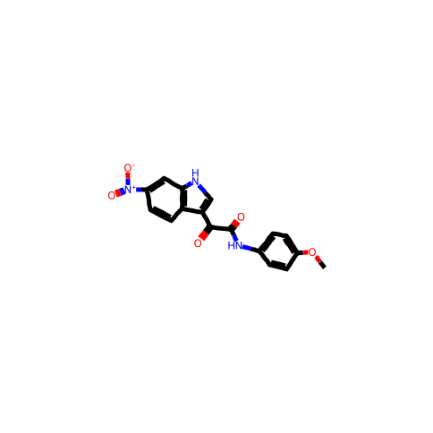 COc1ccc(NC(=O)C(=O)c2c[nH]c3cc([N+](=O)[O-])ccc23)cc1